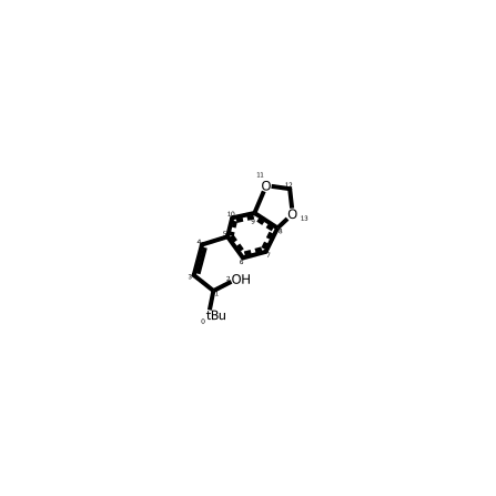 CC(C)(C)C(O)/C=C\c1ccc2c(c1)OCO2